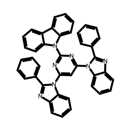 c1ccc(-c2nc3ccccc3n2-c2cc(-n3c(-c4ccccc4)nc4ccccc43)nc(-n3c4ccccc4c4ccccc43)n2)cc1